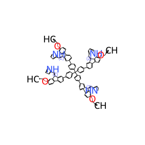 C#CCOc1ccc2c(c1)/C(=C\C1=CCCN1)c1cc(-c3ccc(C(c4ccc(-c5ccc6c(c5)/C(=C/c5ccc[nH]5)c5cc(OCC#C)ccc5-6)cc4)(c4ccc(-c5ccc6c(c5)/C(=C/c5ccc[nH]5)c5cc(OCC#C)ccc5-6)cc4)c4ccc(-c5ccc6c(c5)/C(=C/c5ccc[nH]5)c5cc(OCC#C)ccc5-6)cc4)cc3)ccc1-2